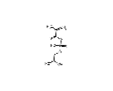 C=C(C)C(=O)OP(=O)(O)OCC(O)O